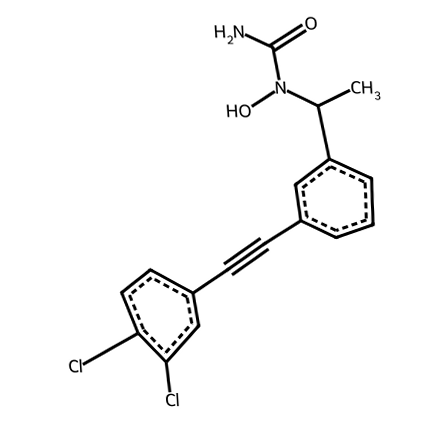 CC(c1cccc(C#Cc2ccc(Cl)c(Cl)c2)c1)N(O)C(N)=O